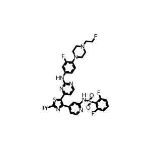 CC(C)c1nc(-c2ccnc(NS(=O)(=O)c3c(F)cccc3F)c2)c(-c2ccnc(Nc3ccc(N4CCN(CCF)CC4)c(F)c3)n2)s1